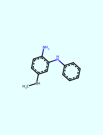 CBc1ccc(N)c(Nc2ccccc2)c1